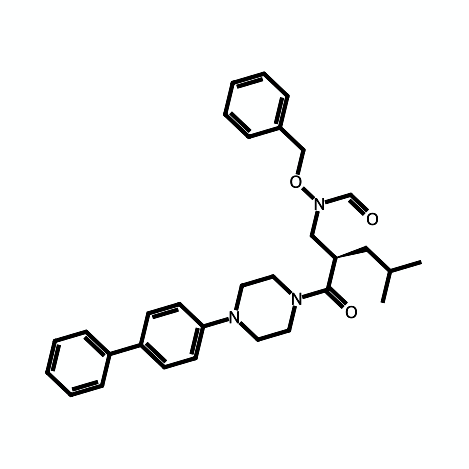 CC(C)C[C@H](CN(C=O)OCc1ccccc1)C(=O)N1CCN(c2ccc(-c3ccccc3)cc2)CC1